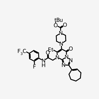 CCc1c(N2CCN(C(=O)OC(C)(C)C)CC2)c(=O)n2nc(C3=CCCCCC3)nc2n1CC(=O)Nc1ccc(C(F)(F)F)cc1F